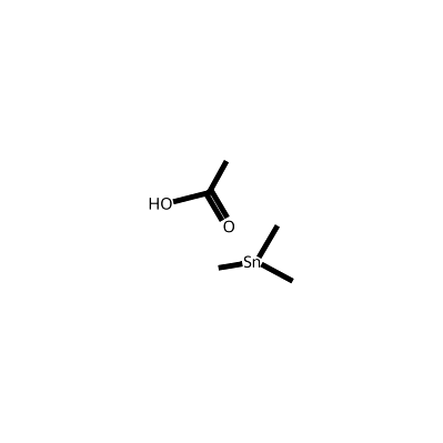 CC(=O)O.[CH3][Sn]([CH3])[CH3]